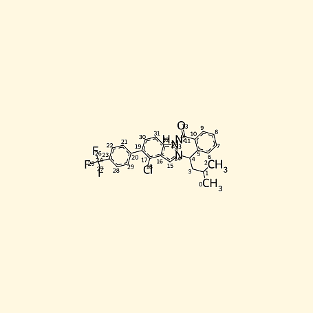 CC(C)CC(c1ccccc1C(N)=O)n1cc2c(Cl)c(-c3ccc(C(F)(F)F)cc3)ccc2n1